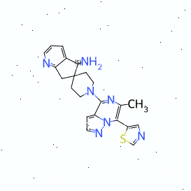 Cc1nc(N2CCC3(CC2)Cc2ncccc2[C@H]3N)c2ccnn2c1-c1cncs1